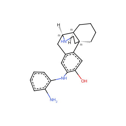 Nc1ccccc1Nc1cc2c(cc1O)[C@]13CCCC[C@@H]1[C@H](C2)NCC3